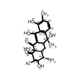 CC(=O)C1=C(O)[C@H](N)C2CC3C(=C(O)c4c(ccc(C)c4O)C3(C)O)C(=O)C2(C)C1=O